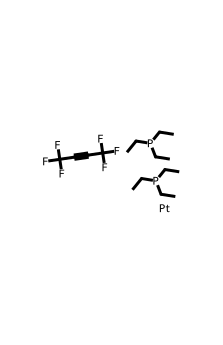 CCP(CC)CC.CCP(CC)CC.FC(F)(F)C#CC(F)(F)F.[Pt]